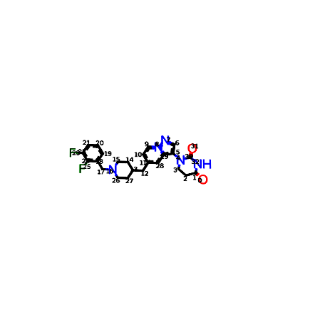 O=C1CCN(c2cnn3ccc(CC4CCN(Cc5cccc(F)c5F)CC4)cc23)C(=O)N1